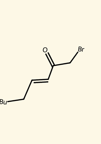 CCCCC/C=C/C(=O)CBr